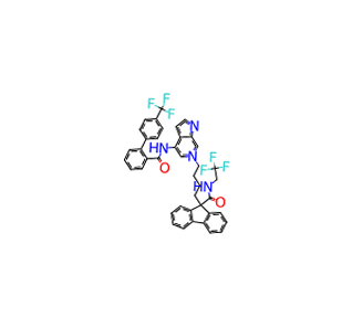 O=C(Nc1cn(CCCCC2(C(=O)NCC(F)(F)F)c3ccccc3-c3ccccc32)cc2nccc1-2)c1ccccc1-c1ccc(C(F)(F)F)cc1